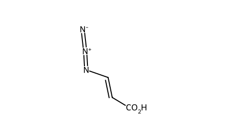 [N-]=[N+]=NC=CC(=O)O